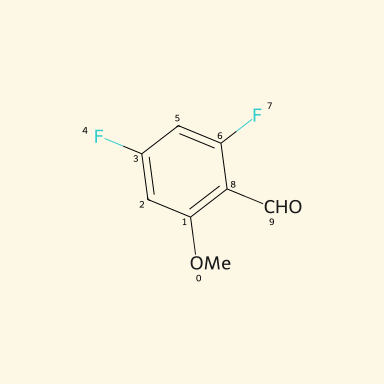 COc1cc(F)cc(F)c1C=O